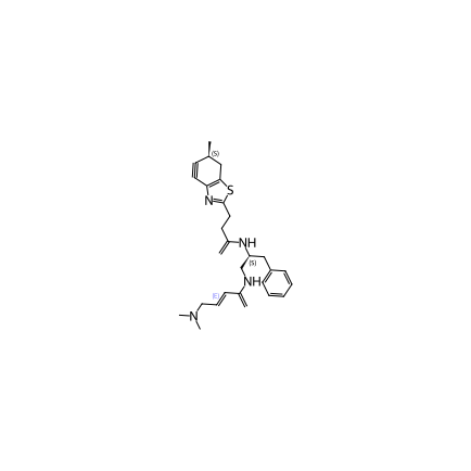 C=C(/C=C/CN(C)C)NC[C@H](Cc1ccccc1)NC(=C)CCc1nc2c(s1)C[C@H](C)C#C2